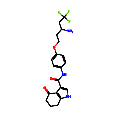 NC(CCOc1ccc(NC(=O)c2c[nH]c3c2C(=O)CCC3)cc1)CC(F)(F)F